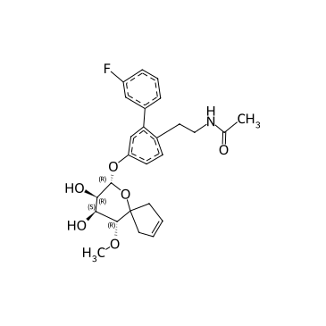 CO[C@@H]1[C@@H](O)[C@@H](O)[C@H](Oc2ccc(CCNC(C)=O)c(-c3cccc(F)c3)c2)OC12CC=CC2